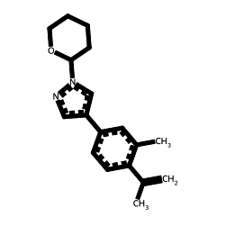 C=C(C)c1ccc(-c2cnn(C3CCCCO3)c2)cc1C